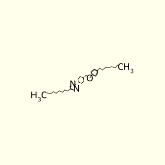 CCCCCCCCCc1cnc([C@H]2CC[C@H](COc3ccc(CCCCCCCC)cc3)CC2)nc1